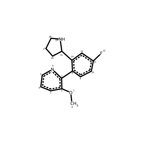 COc1cccnc1-c1ccc(F)cc1C1CCCN1